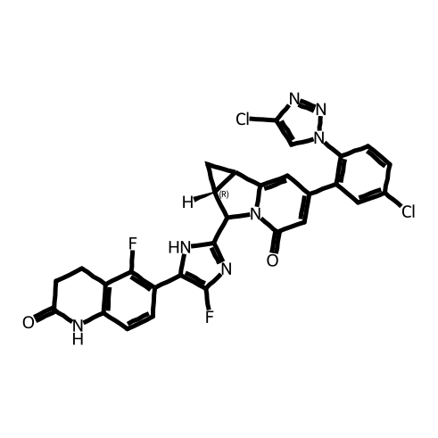 O=C1CCc2c(ccc(-c3[nH]c(C4[C@@H]5CC5c5cc(-c6cc(Cl)ccc6-n6cc(Cl)nn6)cc(=O)n54)nc3F)c2F)N1